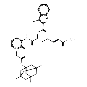 COC(=O)/C=C/CC[C@H](NC(=O)c1oc2ccccc2c1C)C(=O)Nc1cccn(CC(=O)NC23CC4(C)CC(C)(CC(C)(C4)C2)C3)c1=O